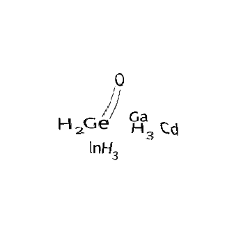 [Cd].[GaH3].[InH3].[O]=[GeH2]